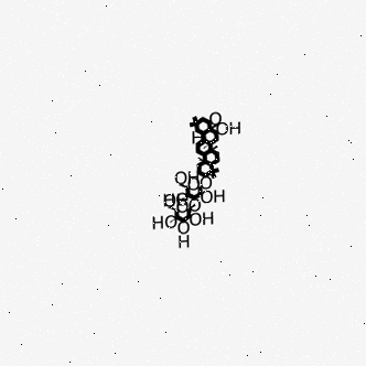 CC1(C)CC[C@]2(C(=O)O)CC[C@]3(C)C(=CCC4[C@@]5(C)CC[C@H](OC6O[C@H](CO)[C@@H](O)[C@H](O[C@@H]7O[C@H](CO)[C@@H](O)[C@H](O)[C@H]7O)[C@H]6O)C(C)(C)C5CC[C@]43C)[C@@H]2C1